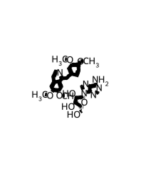 COc1ccc(Cc2nccc3cc(OC)c(OC)cc23)cc1OC.Nc1ncnc2c1ncn2[C@@H]1O[C@H](CO)[C@@H](O)[C@H]1O